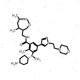 Cc1c(C(=O)NCC2COCNC(C)CC2C)cc(-c2cnn(CCN3CCOCC3)c2)cc1N(C)[C@H]1CC[C@@H](N)CC1